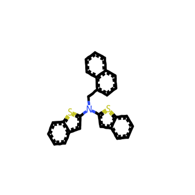 c1ccc2sc(N(Cc3cccc4ccccc34)c3cc4ccccc4s3)cc2c1